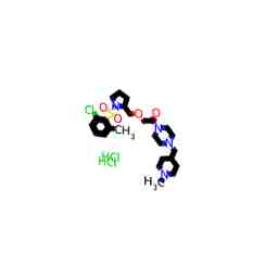 Cc1cccc(Cl)c1S(=O)(=O)N1CCCC1COCC(=O)N1CCN(CC2CCN(C)CC2)CC1.Cl.Cl